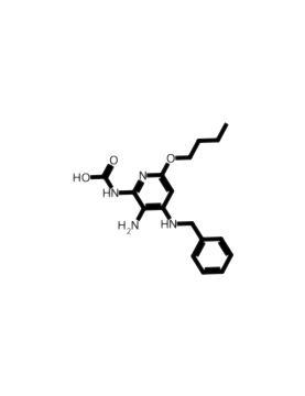 CCCCOc1cc(NCc2ccccc2)c(N)c(NC(=O)O)n1